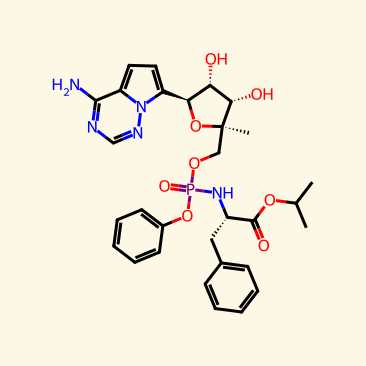 CC(C)OC(=O)[C@H](Cc1ccccc1)NP(=O)(OC[C@@]1(C)O[C@@H](c2ccc3c(N)ncnn23)[C@H](O)[C@@H]1O)Oc1ccccc1